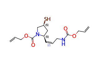 C=CCOC(=O)NC/C=C\[C@@H]1C[C@H](S)CN1C(=O)OCC=C